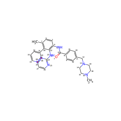 Cc1ccc(NC(=O)c2ccc(CN3CCN(C)CC3)cc2)c(Nc2ncccn2)c1-c1cccnc1